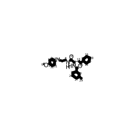 COc1ccc(NCCNC(=O)[C@H](CCc2ccccc2)NC(=O)c2cccc(C)c2)cc1